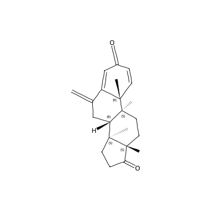 C=C1C[C@@H]2[C@](C)(CC[C@]3(C)C(=O)CC[C@@]23C)[C@@]2(C)C=CC(=O)C=C12